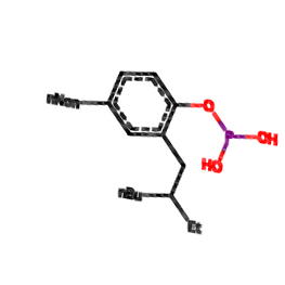 CCCCCCCCCc1ccc(OP(O)O)c(CC(CC)CCCC)c1